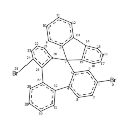 Brc1ccc2c(c1)C1(c3ccccc3-c3ccccc31)c1cccc(Br)c1-c1ccccc1-2